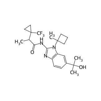 CC(C(=O)Nc1nc2ccc(C(C)(C)O)cc2n1C1(C)CCC1)C1(C(F)(F)F)CC1